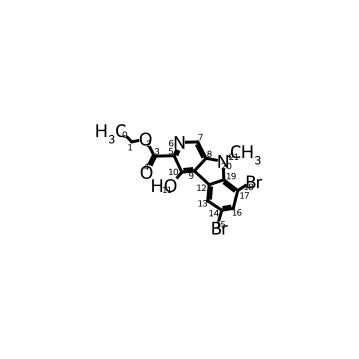 CCOC(=O)c1ncc2c(c1O)c1cc(Br)cc(Br)c1n2C